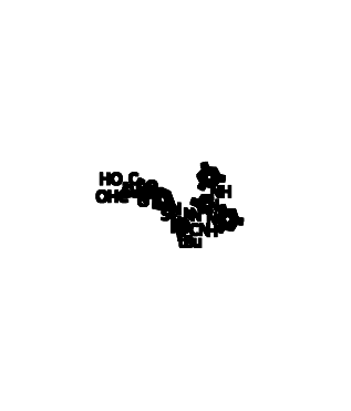 Cc1cc(C)c(Nc2cc(C)c(N=Nc3c(C#N)c(C(C)(C)C)nn3-c3nc4ccc(S(=O)(=O)N(COC=O)CC(=O)O)cc4s3)c(Nc3c(C)cc(C)cc3C)n2)c(C)c1